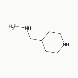 PNCC1CCNCC1